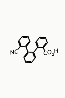 N#Cc1ccccc1-c1ccccc1-c1ccccc1C(=O)O